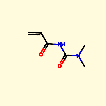 C=CC(=O)NC(=O)N(C)C